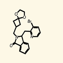 O=C1c2ccccc2C(Cc2ncccc2Br)N1CC1CC2(C1)OCCO2